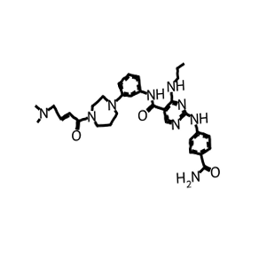 CCCNc1nc(Nc2ccc(C(N)=O)cc2)ncc1C(=O)Nc1cccc(N2CCCN(C(=O)/C=C/CN(C)C)CC2)c1